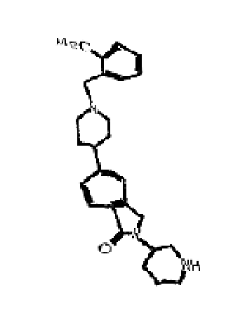 COc1ccccc1CN1CCC(c2ccc3c(c2)CN(C2CCCNC2)C3=O)CC1